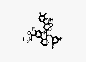 Cc1ccc2c(c1C)NC(=O)C2CC(=O)N[C@@H](Cc1cc(F)cc(F)c1)c1ncccc1-c1ccc(F)c(C(N)=O)c1